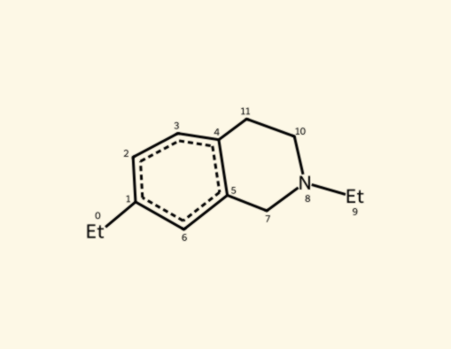 CCc1ccc2c(c1)CN(CC)CC2